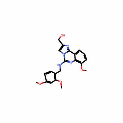 COc1ccc(CNc2nc3c(OC)cccc3c3nc(CO)cn23)c(OC)c1